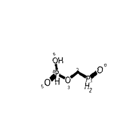 O=[PH2]CO[PH](=O)O